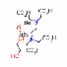 CCCCOCCCC.O=C(O)CN(CCN(CC(=O)O)CC(=O)O)CC(=O)O.OCCO